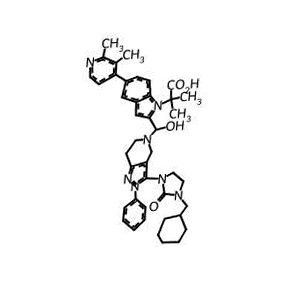 Cc1nccc(-c2ccc3c(c2)cc(C(O)N2CCc4nn(-c5ccccc5)c(N5CCN(CC6CCCCC6)C5=O)c4C2)n3C(C)(C)C(=O)O)c1C